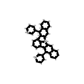 c1cncc(-c2c3ccccc3cc3c2c2cccc4c5c(-c6cccnc6)c6ccccc6cc5n3c24)c1